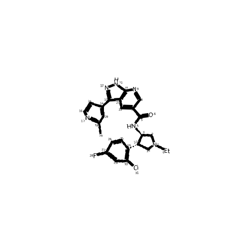 CCN1C[C@H](NC(=O)c2cnc3[nH]nc(-c4ccnc(C)c4)c3c2)[C@@H](c2ccc(F)cc2Cl)C1